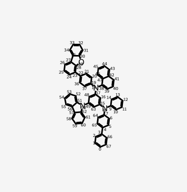 c1ccc(-c2ccc(N(c3ccccc3)c3cc(N(c4ccc(-c5cccc6c5oc5ccccc56)cc4)c4cccc5ccccc45)cc(-n4c5ccccc5c5ccccc54)c3)cc2)cc1